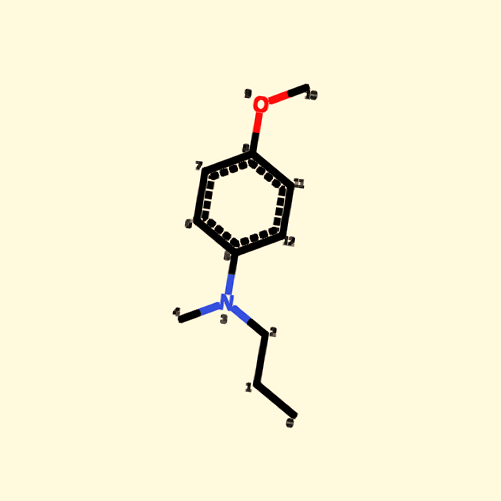 CCCN(C)c1ccc(OC)cc1